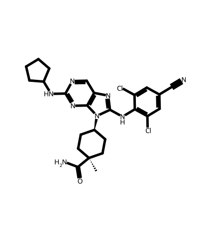 C[C@]1(C(N)=O)CC[C@@H](n2c(Nc3c(Cl)cc(C#N)cc3Cl)nc3cnc(NC4CCCC4)nc32)CC1